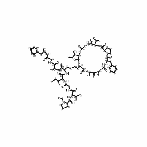 CCC(C)C(NC(=O)CNC(=O)C(NC(=O)C1CCCN1C=O)C(C)C)C(=O)NC(CSSCC1NC(=O)C(C(C)CC)NC(=O)CNC(=O)C(C(C)C)NC(=O)C2CCCN2C(=O)C(Cc2ccccc2)NC(=O)CNC(=O)C(C)NC1=O)C(=O)NC(C)C(=O)NCC(=O)NC(C)Cc1ccccc1